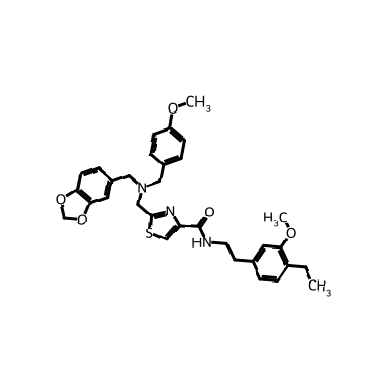 CCc1ccc(CCNC(=O)c2csc(CN(Cc3ccc(OC)cc3)Cc3ccc4c(c3)OCO4)n2)cc1OC